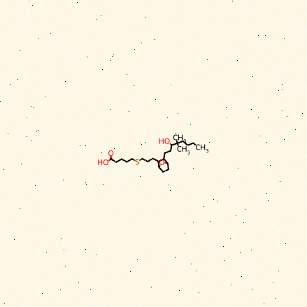 CCCCC(C)(C)C(O)CCC1C2CCC(O2)C1CCCSCCCCC(=O)O